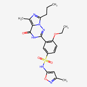 CCCc1nc(C)c2c(=O)[nH]c(-c3cc(S(=O)(=O)Nc4cc(C)no4)ccc3OCC)nn12